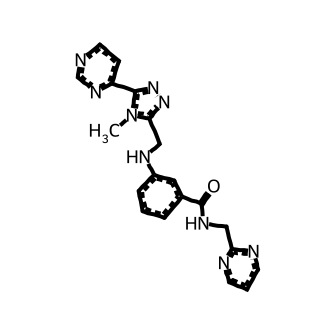 Cn1c(CNc2cccc(C(=O)NCc3ncccn3)c2)nnc1-c1ccncn1